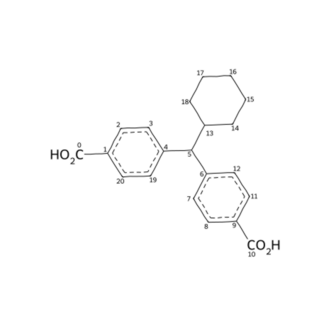 O=C(O)c1ccc(C(c2ccc(C(=O)O)cc2)C2CCCCC2)cc1